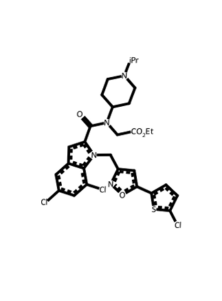 CCOC(=O)CN(C(=O)c1cc2cc(Cl)cc(Cl)c2n1Cc1cc(-c2ccc(Cl)s2)on1)C1CCN(C(C)C)CC1